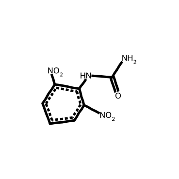 NC(=O)Nc1c([N+](=O)[O-])cccc1[N+](=O)[O-]